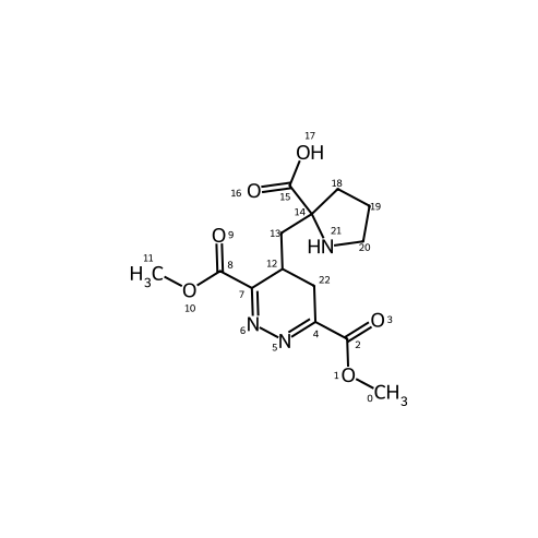 COC(=O)C1=NN=C(C(=O)OC)C(CC2(C(=O)O)CCCN2)C1